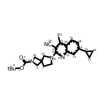 CC(C)(C)OC(=O)N1CC2(CCN(c3nc4cc(C5CC5)ccc4c(I)c3C#N)C2)C1